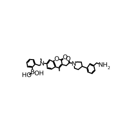 Cc1c(CC(=O)N2CCC(c3cccc(CN)c3)CC2)c(=O)oc2cc(N(C)Cc3ccccc3B(O)O)ccc12